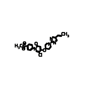 CC=Cc1cnc(N2CCC(Oc3cc(=O)n(-c4ccc(S(C)(=O)=O)cc4)cc3Cl)CC2)nc1